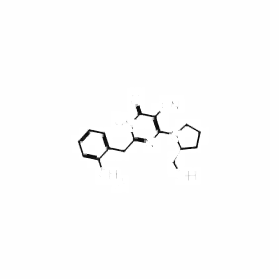 Cc1ccccc1Cc1nc(N2CCC[C@H]2CO)c(C#N)c(=O)[nH]1